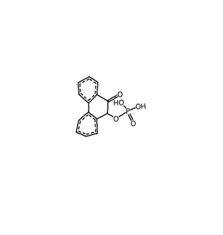 O=C1c2ccccc2-c2ccccc2C1OP(=O)(O)O